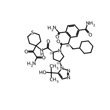 CC(C)(O)c1cnnn1[C@H]1C[C@@H](C(=O)NC2(C(=O)C(N)=O)CCSCC2)N(C(=O)[C@H](CC2CCCCC2)c2cc(C(N)=O)ccc2C(N)=O)C1